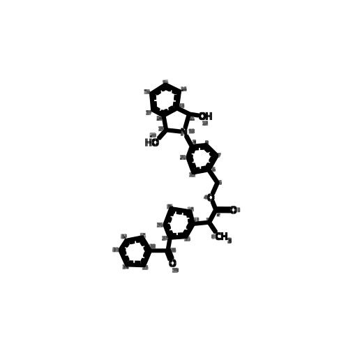 CC(C(=O)OCc1ccc(N2C(O)c3ccccc3C2O)cc1)c1cccc(C(=O)c2ccccc2)c1